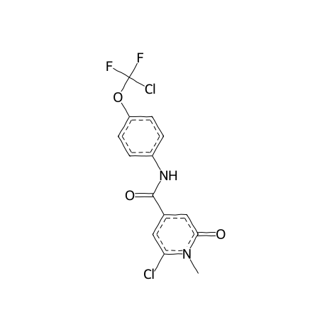 Cn1c(Cl)cc(C(=O)Nc2ccc(OC(F)(F)Cl)cc2)cc1=O